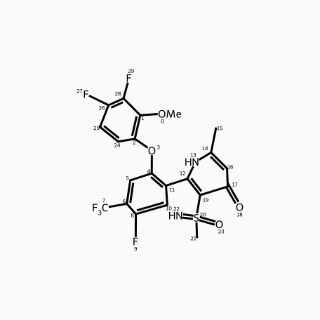 COc1c(Oc2cc(C(F)(F)F)c(F)cc2-c2[nH]c(C)cc(=O)c2S(C)(=N)=O)ccc(F)c1F